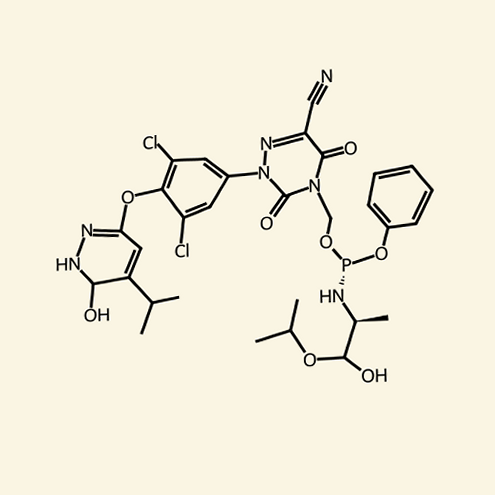 CC(C)OC(O)[C@H](C)N[P@](OCn1c(=O)c(C#N)nn(-c2cc(Cl)c(OC3=NNC(O)C(C(C)C)=C3)c(Cl)c2)c1=O)Oc1ccccc1